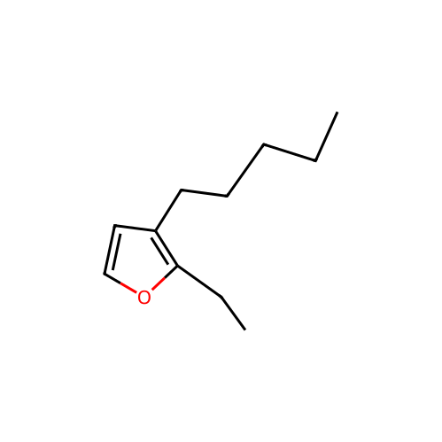 CCCCCc1ccoc1CC